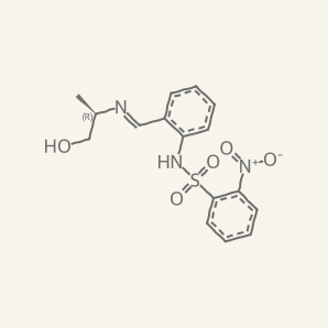 C[C@H](CO)N=Cc1ccccc1NS(=O)(=O)c1ccccc1[N+](=O)[O-]